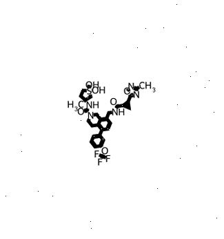 Cc1noc(C2CC2C(=O)NCc2ccc(-c3cccc(OC(F)(F)F)c3)c3c2CN(C(=O)NC2(C)CCS(O)(O)C2)CC3)n1